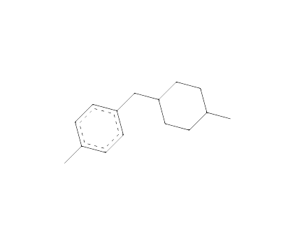 Cc1ccc(CC2CCC(C)CC2)cc1